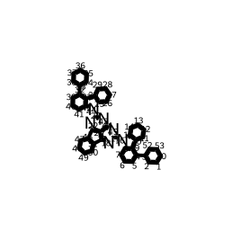 c1ccc(-c2cccc3c2c2ccccc2n3-c2nc3c4c(nc(-n5c6ccccc6c6c(-c7ccccc7)cccc65)nc4n2)-c2ccccc2-3)cc1